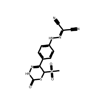 CS(=O)(=O)C1SC(=O)NN=C1c1ccc(NN=C(C#N)C#N)cc1